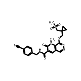 Cn1c(=O)c(C(=O)NCc2ccc(C#N)cc2)cc2cnnc(OCC3(CS(C)(=O)=O)CC3)c21